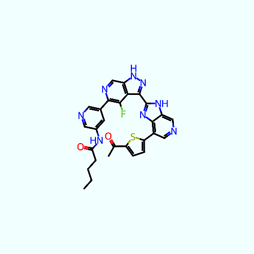 CCCCC(=O)Nc1cncc(-c2ncc3[nH]nc(-c4nc5c(-c6ccc(C(C)=O)s6)cncc5[nH]4)c3c2F)c1